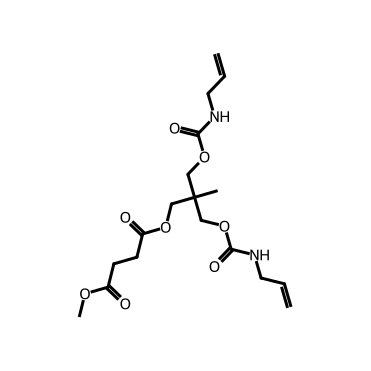 C=CCNC(=O)OCC(C)(COC(=O)CCC(=O)OC)COC(=O)NCC=C